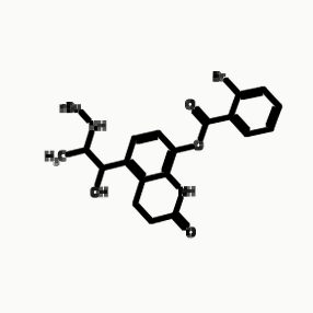 CCCCNC(C)C(O)c1ccc(OC(=O)c2ccccc2Br)c2c1CCC(=O)N2